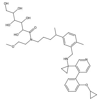 COCCN(CCCC(C)c1ccc(C)c(CNC2(c3cnccc3-c3ccccc3OC3CC3)CC2)c1)C(=O)C(O)C(O)C(O)C(O)CO